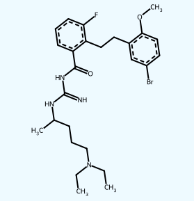 CCN(CC)CCCC(C)NC(=N)NC(=O)c1cccc(F)c1CCc1cc(Br)ccc1OC